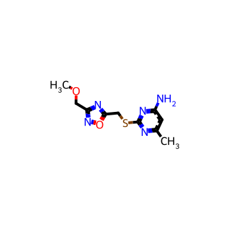 COCc1noc(CSc2nc(C)cc(N)n2)n1